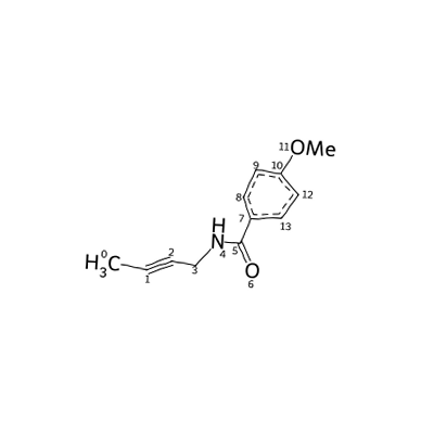 CC#CCNC(=O)c1ccc(OC)cc1